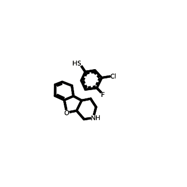 C1=CCC2C(=C1)OC1CNCCC12.Fc1ccc(S)cc1Cl